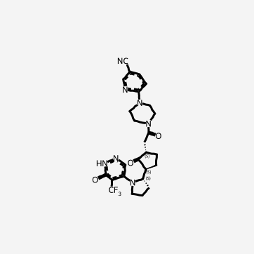 N#Cc1ccc(N2CCN(C(=O)C[C@@H]3CC[C@@H]([C@@H]4CCCN4c4cn[nH]c(=O)c4C(F)(F)F)C3=O)CC2)nc1